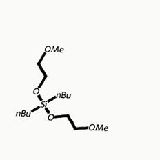 CCCC[Si](CCCC)(OCCOC)OCCOC